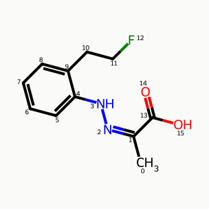 CC(=NNc1ccccc1CCF)C(=O)O